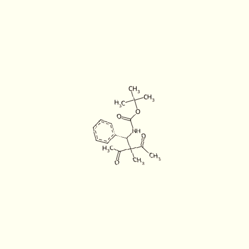 CC(=O)C(C)(C(C)=O)C(NC(=O)OC(C)(C)C)c1ccccc1